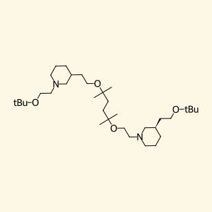 CC(C)(C)OCC[C@H]1CCCN(CCOC(C)(C)CCC(C)(C)OCCC2CCCN(CCOC(C)(C)C)C2)C1